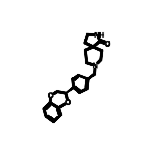 O=C1NCCC12CCN(Cc1ccc([C@@H]3COc4ccccc4O3)cc1)CC2